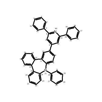 c1ccc(-c2cc(-c3ccc4c(c3)-c3ccccc3-c3ccccc3N4c3ccccc3)cc(-c3ccccc3)n2)cc1